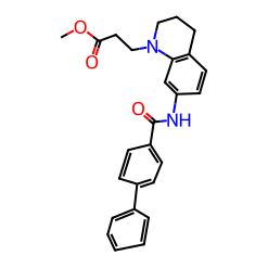 COC(=O)CCN1CCCc2ccc(NC(=O)c3ccc(-c4ccccc4)cc3)cc21